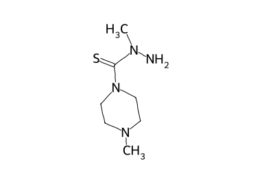 CN1CCN(C(=S)N(C)N)CC1